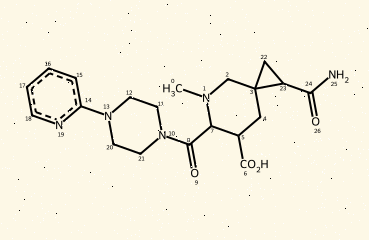 CN1CC2(CC(C(=O)O)C1C(=O)N1CCN(c3ccccn3)CC1)CC2C(N)=O